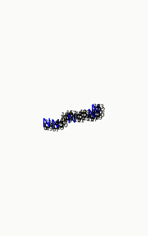 c1cncc(-c2ccc3ccc(-c4ccc5ccc(-c6ccc7cc(-c8ccc9ccc%10cccnc%10c9n8)ccc7c6)nc5c4)cc3n2)c1